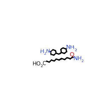 NC(=O)CCCCCCCCCCC(=O)O.NC1CCC(CC2CCC(N)CC2)CC1